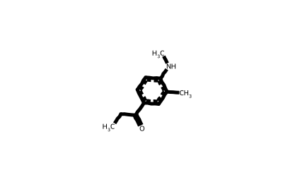 CCC(=O)c1ccc(NC)c(C)c1